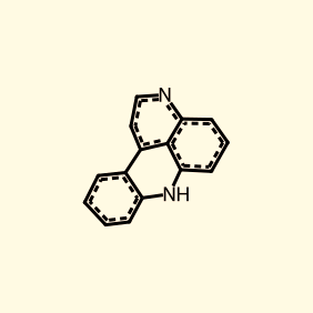 c1ccc2c(c1)Nc1cccc3nccc-2c13